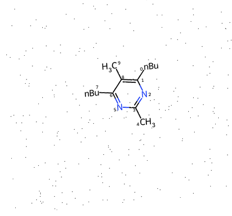 CCCCc1nc(C)nc(CCCC)c1C